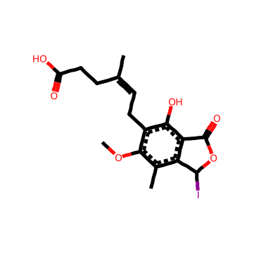 COc1c(C)c2c(c(O)c1CC=C(C)CCC(=O)O)C(=O)OC2I